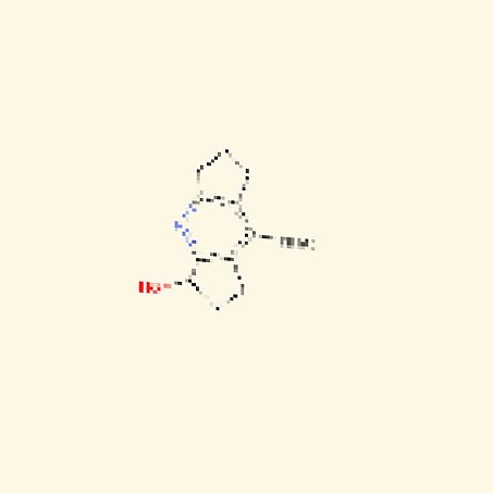 CC(=O)Nc1c2c(nc3c1CCC3O)CCC2